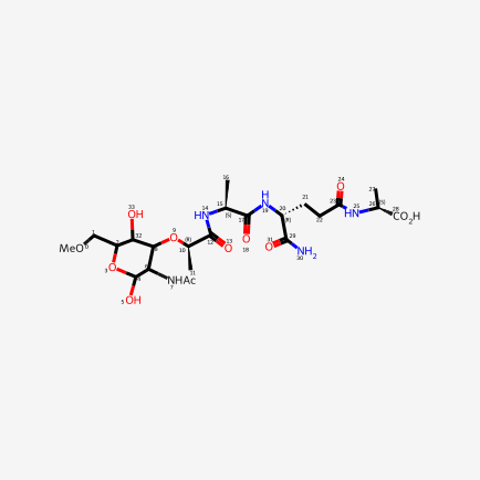 COCC1OC(O)C(NC(C)=O)C(O[C@H](C)C(=O)N[C@@H](C)C(=O)N[C@H](CCC(=O)N[C@@H](C)C(=O)O)C(N)=O)C1O